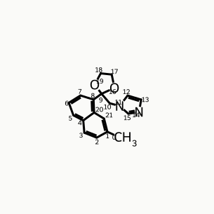 Cc1ccc2cccc(C3(Cn4ccnc4)OCCO3)c2c1